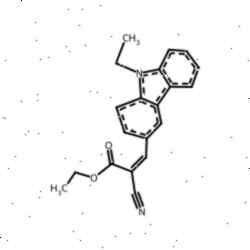 CCOC(=O)/C(C#N)=C\c1ccc2c(c1)c1ccccc1n2CC